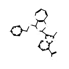 Cc1nc2c(C(N)=O)cccn2c1C1NC2=C(NC=CC=C2)C(NCc2ccccc2)N1